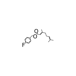 CC(C)=CCC/C(C)=C/C(=O)OCc1ccc(F)cc1